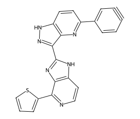 c1ccc(-c2ccc3[nH]nc(-c4nc5c(-c6cccs6)nccc5[nH]4)c3n2)cc#1